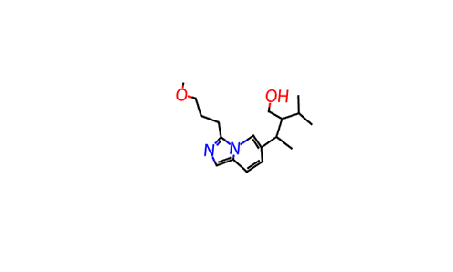 COCCCc1ncc2ccc(C(C)C(CO)C(C)C)cn12